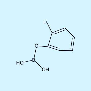 [Li][c]1ccccc1OB(O)O